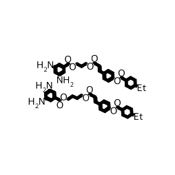 CCC1CCC(C(=O)Oc2ccc(C=CC(=O)OCCCCOC(=O)c3cc(N)cc(N)c3)cc2)CC1.CCC1CCC(C(=O)Oc2ccc(C=CC(=O)OCCCOC(=O)c3cc(N)cc(N)c3)cc2)CC1